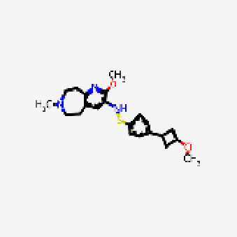 COc1nc2c(cc1NSc1ccc(C3CC(OC)C3)cc1)CCN(C)CC2